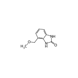 COCc1cccc2[nH]c(=O)[nH]c12